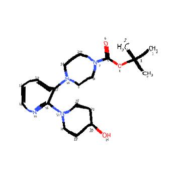 CC(C)(C)OC(=O)N1CCN(c2cccnc2N2CCC(O)CC2)CC1